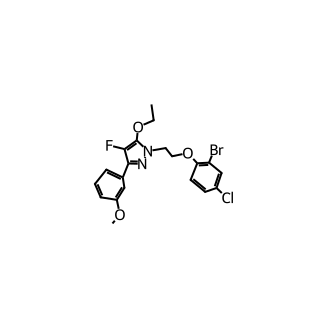 CCOc1c(F)c(-c2cccc(OC)c2)nn1CCOc1ccc(Cl)cc1Br